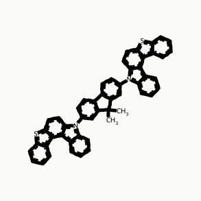 CC1(C)c2cc(-n3c4ccccc4c4c5c(ccc43)sc3ccccc35)ccc2-c2ccc(-n3c4ccccc4c4c5c(ccc43)sc3ccccc35)cc21